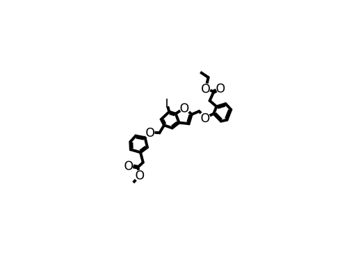 CCOC(=O)Cc1ccccc1OCc1cc2cc(COc3cccc(CC(=O)OC)c3)cc(I)c2o1